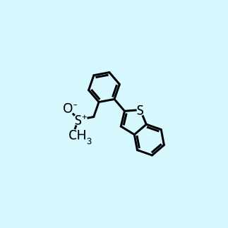 C[S+]([O-])Cc1ccccc1-c1cc2ccccc2s1